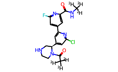 [2H]C([2H])([2H])NC(=O)c1cc(-c2cc([C@@H]3CNCCN3C(=O)C([2H])([2H])[2H])cc(Cl)n2)cc(F)n1